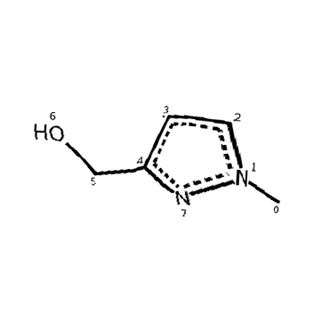 Cn1c[c]c(CO)n1